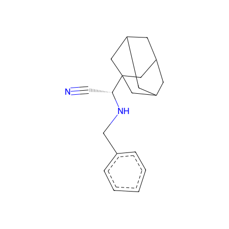 N#C[C@@H](NCc1ccccc1)C12CC3CC(CC(C3)C1)C2